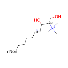 CCCCCCCCCCCCC/C=C/C(O)[C@H](CO)[N+](C)(C)C